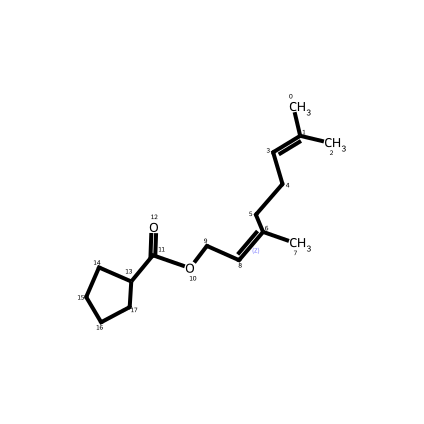 CC(C)=CCC/C(C)=C\COC(=O)C1CCCC1